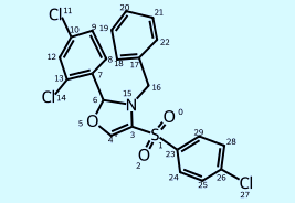 O=S(=O)(C1=[C]OC(c2ccc(Cl)cc2Cl)N1Cc1ccccc1)c1ccc(Cl)cc1